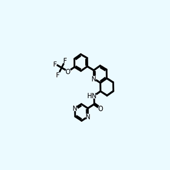 O=C(NC1CCCc2ccc(-c3cccc(OC(F)(F)F)c3)nc21)c1cnccn1